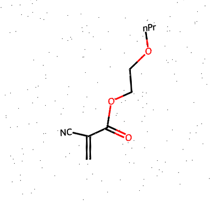 C=C(C#N)C(=O)OCCOCCC